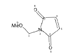 COCN1C(=O)C=CC1=O